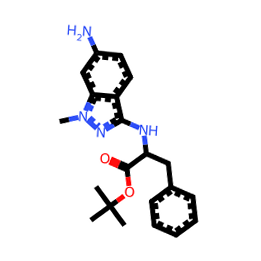 Cn1nc(NC(Cc2ccccc2)C(=O)OC(C)(C)C)c2ccc(N)cc21